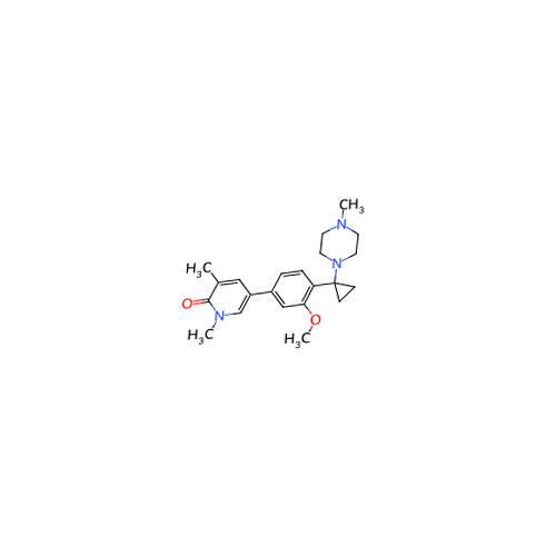 COc1cc(-c2cc(C)c(=O)n(C)c2)ccc1C1(N2CCN(C)CC2)CC1